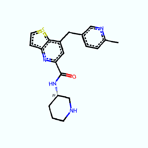 Cc1ccc(Cc2cc(C(=O)N[C@H]3CCCNC3)nc3ccsc23)cn1